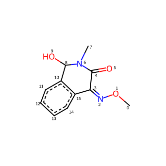 CON=C1C(=O)N(C)C(O)c2ccccc21